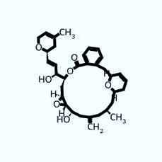 C=C1C[C@H](C)C[C@@H]2CC=C[C@@H](Cc3ccccc3C(=O)O[C@H]([C@@H](O)/C=C/[C@@H]3CC(C)=CCO3)C[C@@H]3O[C@H]3[C@@H](O)C1)O2